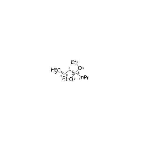 C=CC[Si](CCC)(OCC)OCC